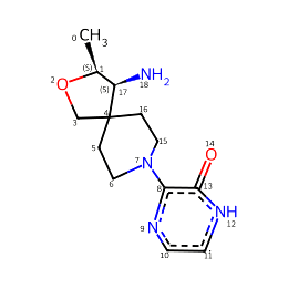 C[C@@H]1OCC2(CCN(c3nc[c][nH]c3=O)CC2)[C@@H]1N